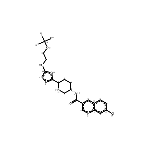 O=C(N[C@H]1CCC(c2nnc(OCCOC(F)(F)F)o2)NC1)c1cnc2cc(Cl)ccc2c1